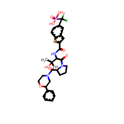 CC(C)(O)C(NC(=O)c1cc2cc(C(F)(F)P(=O)(O)O)ccc2s1)C(=O)N1CCCC1C(=O)N1CCOC(c2ccccc2)C1